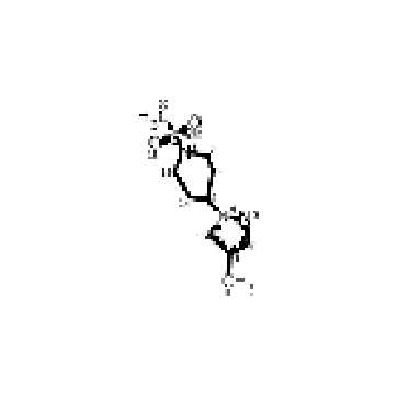 Cc1cnn(C2CCN(S(C)(=O)=O)CC2)c1